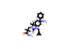 CC(C)(CN1C(=O)N(CC2CC2)C2(CCC(N)(c3ccccc3)CC2)C1(C)C)C(N)=O